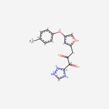 O=C(Cc1cc(Oc2ccc(C(F)(F)F)cc2)co1)C(=O)c1nc[nH]n1